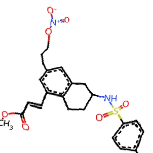 COC(=O)C=Cc1cc(CCO[N+](=O)[O-])cc2c1CCC(NS(=O)(=O)c1ccc(Cl)cc1)C2